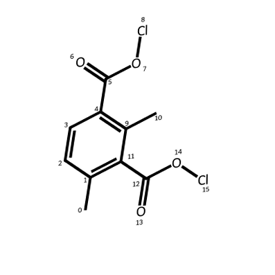 Cc1ccc(C(=O)OCl)c(C)c1C(=O)OCl